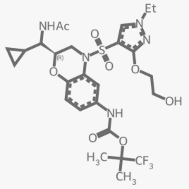 CCn1cc(S(=O)(=O)N2C[C@H](C(NC(C)=O)C3CC3)Oc3ccc(NC(=O)OC(C)(C)C(F)(F)F)cc32)c(OCCO)n1